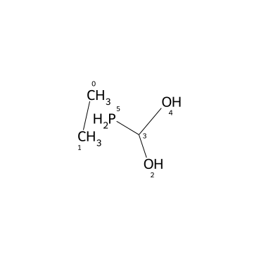 CC.OC(O)P